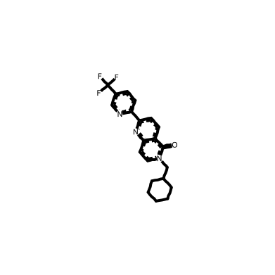 O=c1c2ccc(-c3ccc(C(F)(F)F)cn3)nc2ccn1CC1CCCCC1